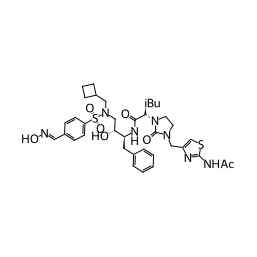 CC[C@H](C)[C@@H](C(=O)N[C@@H](Cc1ccccc1)[C@H](O)CN(CC1CCC1)S(=O)(=O)c1ccc(/C=N/O)cc1)N1CCN(Cc2csc(NC(C)=O)n2)C1=O